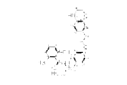 Cc1cccc(C)c1C(=O)N[C@@H](Cc1ccc(OCCc2ccc3c(n2)OCCN3)cc1)C(=O)O